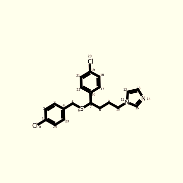 Clc1ccc(CSC(CCCn2ccnc2)c2ccc(Cl)cc2)cc1